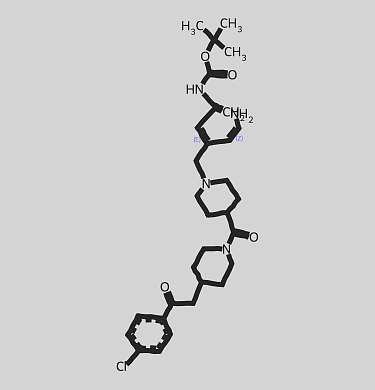 C=C(/C=C(\C=C/N)CN1CCC(C(=O)N2CCC(CC(=O)c3ccc(Cl)cc3)CC2)CC1)NC(=O)OC(C)(C)C